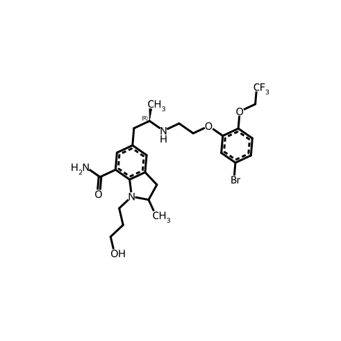 CC1Cc2cc(C[C@@H](C)NCCOc3cc(Br)ccc3OCC(F)(F)F)cc(C(N)=O)c2N1CCCO